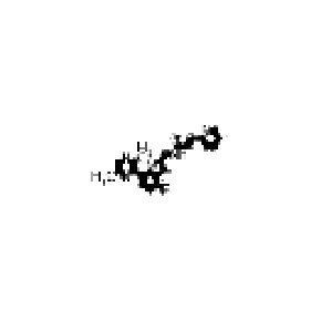 Cc1cnc(C)c(-c2ccc(F)c3c2OC(CNC(=O)C=Cc2ccccn2)C3)n1